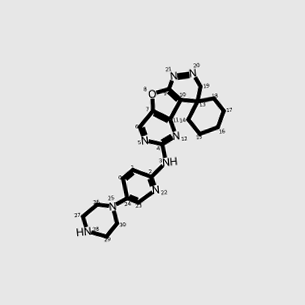 c1cc(Nc2ncc3oc4c(c3n2)C2(CCCCC2)CN=N4)ncc1N1CCNCC1